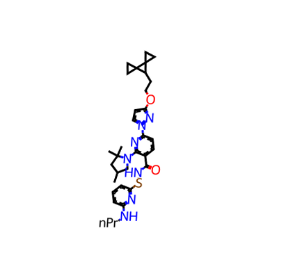 CCCNc1cccc(SNC(=O)c2ccc(-n3ccc(OCCC4C5(CC5)C45CC5)n3)nc2N2CC(C)CC2(C)C)n1